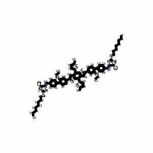 CCCCCCCCSC1=NC(=O)/C(=C/c2ccc3c4ccc(-c5cc6c(-c7ccc(C)s7)c7sc(-c8ccc9c%10ccc(/C=C%11\SC(SCCCCCCCC)=NC%11=O)cc%10n(CC)c9c8)cc7c(-c7ccc(C)s7)c6s5)cc4n(CC)c3c2)S1